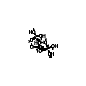 CCC(C)Cl.O=P(O)(O)O.O=P(O)(O)O